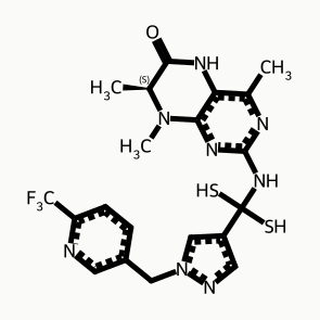 Cc1nc(NC(S)(S)c2cnn(Cc3ccc(C(F)(F)F)nc3)c2)nc2c1NC(=O)[C@H](C)N2C